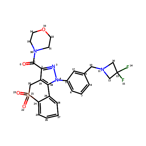 O=C(c1nn(-c2cccc(CN3CC(F)(F)C3)c2)c2c1CS(=O)(=O)c1ccccc1-2)N1CCOCC1